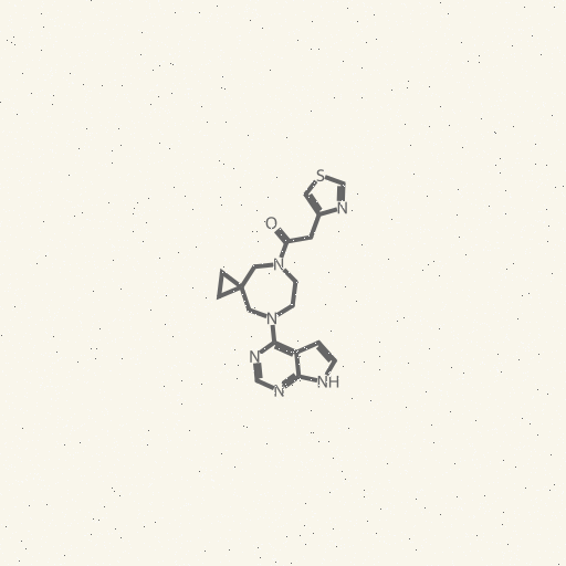 O=C(Cc1cscn1)N1CCN(c2ncnc3[nH]ccc23)CC2(CC2)C1